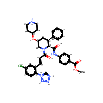 CC(C)(C)OC(=O)c1ccc(NC(=O)[C@@H]2[C@H](c3ccccc3)C[C@H](OC3CCNCC3)CN2C(=O)/C=C/c2cc(Cl)ccc2-n2cnnn2)cc1